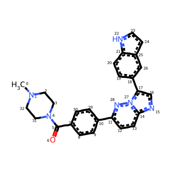 CN1CCN(C(=O)c2ccc(-c3ccc4ncc(-c5ccc6[nH]ccc6c5)n4n3)cc2)CC1